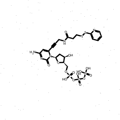 Nc1cc(C#CCNC(=O)CCSSc2ccccn2)n([C@H]2C[C@@H](O)[C@@H](COP(=O)(O)OP(=O)(O)OP(=O)(O)O)O2)c(=O)n1